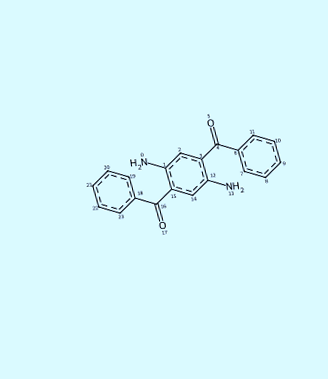 Nc1cc(C(=O)c2ccccc2)c(N)cc1C(=O)c1ccccc1